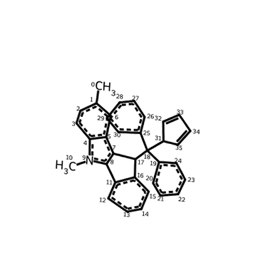 Cc1ccc2c(c1)c1c(n2C)-c2ccccc2C1C(c1ccccc1)(c1ccccc1)C1C=CC=C1